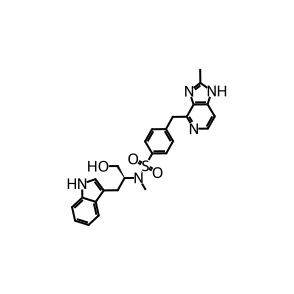 Cc1nc2c(Cc3ccc(S(=O)(=O)N(C)[C@H](CO)Cc4c[nH]c5ccccc45)cc3)nccc2[nH]1